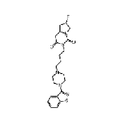 O=C1CC2CC(F)CN2C(=O)N1CCCCN1CCN(c2nsc3ccccc23)CC1